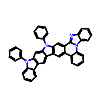 c1ccc(-n2c3ccccc3c3cc4c5cc6c7ccccc7n7c8ccccc8nc7c6cc5n(-c5ccccc5)c4cc32)cc1